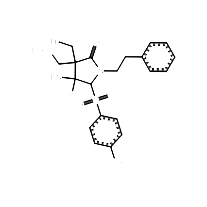 CCC1(N)C(S(=O)(=O)c2ccc(C)cc2)N(CCc2ccccc2)C(=O)C1(CC(=O)O)CC(C)C